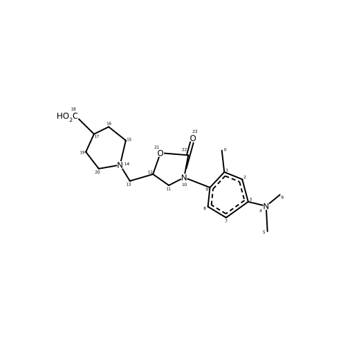 Cc1cc(N(C)C)ccc1N1CC(CN2CCC(C(=O)O)CC2)OC1=O